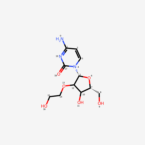 Nc1ccn([C@@H]2O[C@H](CO)C(O)C2OCCO)c(=O)n1